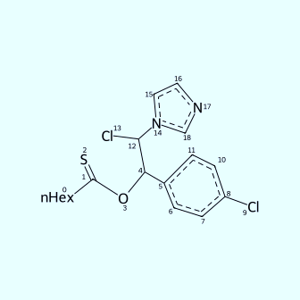 CCCCCCC(=S)OC(c1ccc(Cl)cc1)C(Cl)n1ccnc1